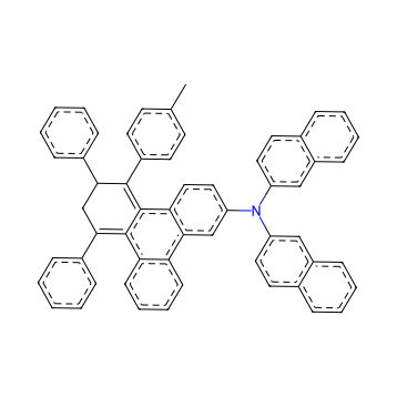 Cc1ccc(C2=c3c(c4ccccc4c4cc(N(c5ccc6ccccc6c5)c5ccc6ccccc6c5)ccc34)=C(c3ccccc3)CC2c2ccccc2)cc1